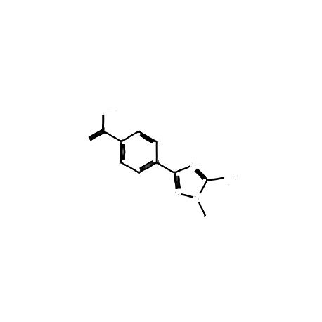 COC(=O)c1ccc(-c2nc(OC)n(C)n2)cc1